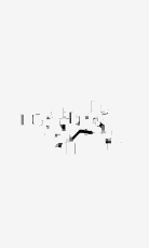 CC(C)O[Si](CCC[Si](C)(C)O[SiH](C)C)(OC(C)C)OC(C)C